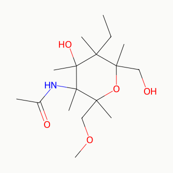 CCC1(C)C(C)(CO)OC(C)(COC)C(C)(NC(C)=O)C1(C)O